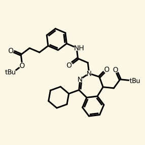 CC(C)(C)OC(=O)CCc1cccc(NC(=O)CN2N=C(C3CCCCC3)c3ccccc3C(CC(=O)C(C)(C)C)C2=O)c1